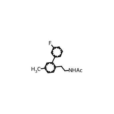 CC(=O)NCCc1ccc(C)cc1-c1cccc(F)c1